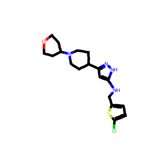 Clc1ccc(CNc2cc(C3CCN(C4CCOCC4)CC3)n[nH]2)s1